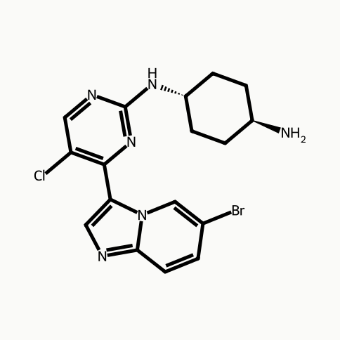 N[C@H]1CC[C@H](Nc2ncc(Cl)c(-c3cnc4ccc(Br)cn34)n2)CC1